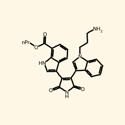 CCCOC(=O)c1cccc2c(C3=C(c4cn(CCCN)c5ccccc45)C(=O)NC3=O)c[nH]c12